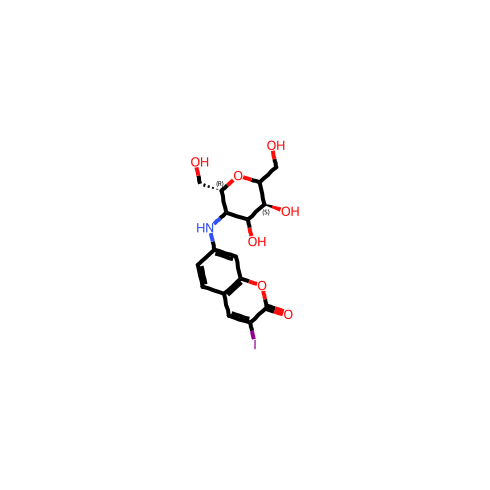 O=c1oc2cc(NC3C(O)[C@H](O)C(CO)O[C@H]3CO)ccc2cc1I